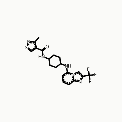 Cc1nscc1C(=O)NC1CCC(Nc2cccc3nc(C(F)(F)F)cn23)CC1